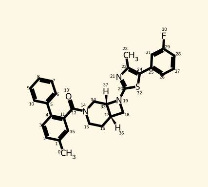 Cc1ccc(-c2ccccc2)c(C(=O)N2CC[C@H]3CN(c4nc(C)c(-c5cccc(F)c5)s4)[C@H]3C2)c1